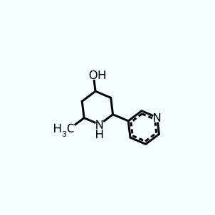 CC1CC(O)CC(c2cccnc2)N1